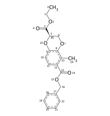 CCOC(=O)[C@H]1COc2c(ccc(C(=O)OCc3ccccc3)c2C)O1